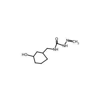 C=NNC(=O)NCC1CCCC(O)C1